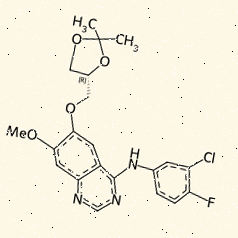 COc1cc2ncnc(Nc3ccc(F)c(Cl)c3)c2cc1OC[C@@H]1COC(C)(C)O1